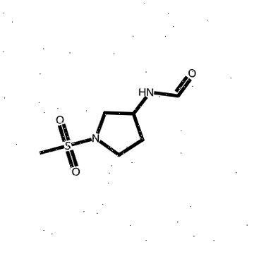 CS(=O)(=O)N1CCC(NC=O)C1